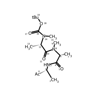 CC(=O)[C@@H](C)NC(=O)[C@@H](C)N(C)C(=O)[C@H](C)N(C)C(=O)OC(C)(C)C